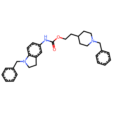 O=C(Nc1ccc2c(c1)CCN2Cc1ccccc1)OCCC1CCN(Cc2ccccc2)CC1